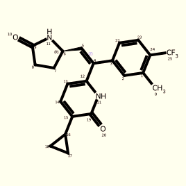 Cc1cc(/C(=C/[C@H]2CCC(=O)N2)c2ccc(C3CC3)c(=O)[nH]2)ccc1C(F)(F)F